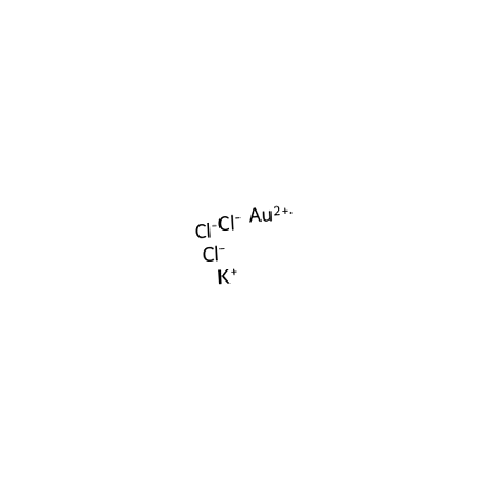 [Au+2].[Cl-].[Cl-].[Cl-].[K+]